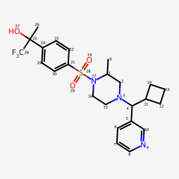 CC1CN(C(c2cccnc2)C2CCC2)CCN1S(=O)(=O)c1ccc(C(C)(O)C(F)(F)F)cc1